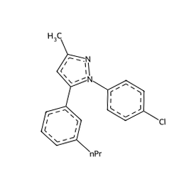 CCCc1cccc(-c2cc(C)nn2-c2ccc(Cl)cc2)c1